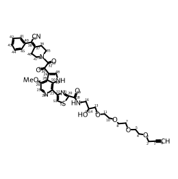 C#CCOCCOCCOCCOCC(O)CNC(=O)c1nc(-c2ncc(OC)c3c(C(=O)C(=O)N4CCC(=C(C#N)c5ccccc5)CC4)c[nH]c23)cs1